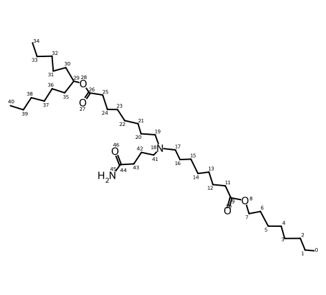 CCCCCCCCOC(=O)CCCCCCCN(CCCCCCCC(=O)OC(CCCCC)CCCCCC)CCCC(N)=O